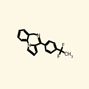 CC(F)(F)c1ccc(C2=NCc3ccccc3-n3cccc32)cc1